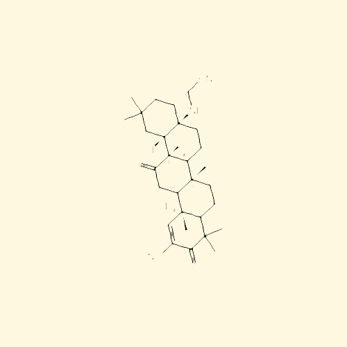 CC1(C)CC[C@]2(NCC#N)CC[C@]3(C)[C@H](C(=O)C[C@@H]4[C@@]5(C)C=C(C#N)C(=O)C(C)(C)C5CC[C@]43C)[C@@H]2C1